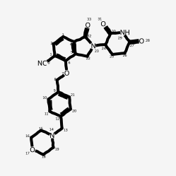 N#Cc1ccc2c(c1OCc1ccc(CN3CCOCC3)cc1)CN(C1CCC(=O)NC1=O)C2=O